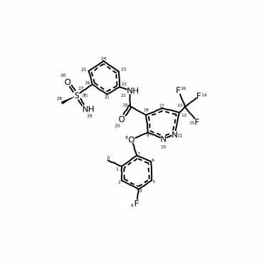 Cc1cc(F)ccc1Oc1nnc(C(F)(F)F)cc1C(=O)Nc1cccc([S@](C)(=N)=O)c1